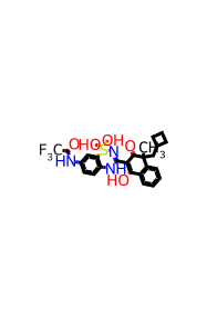 CC1(CC2CCC2)C(=O)C(C2=NS(O)(O)c3cc(NC(=O)C(F)(F)F)ccc3N2)=C(O)c2ccccc21